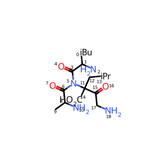 CCC(C)C(N)C(=O)N(C(=O)C(C)N)C(CC(C)C)(C(=O)O)C(=O)CN